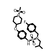 CC(C)CN(Cc1ccc(F)cc1)S(=O)(=O)Nc1ccc(OC2CCN(S(C)(=O)=O)CC2)cc1